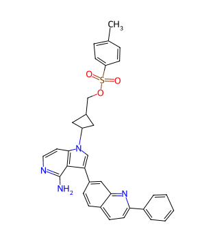 Cc1ccc(S(=O)(=O)OCC2CC(n3cc(-c4ccc5ccc(-c6ccccc6)nc5c4)c4c(N)nccc43)C2)cc1